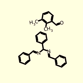 C(=NC(N=Cc1ccccc1)c1ccccc1)c1ccccc1.Cc1cccc(C=O)c1C